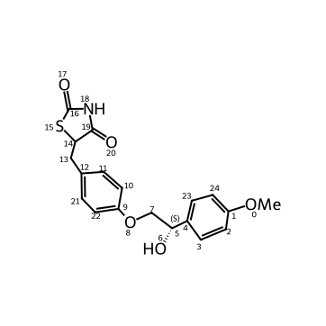 COc1ccc([C@H](O)COc2ccc(CC3SC(=O)NC3=O)cc2)cc1